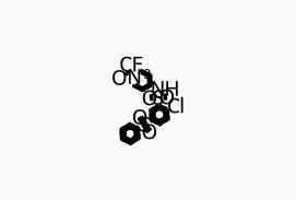 O=C(N1CCC(NS(=O)(=O)c2cc(S(=O)(=O)c3ccccc3)ccc2Cl)CC1)C(F)(F)F